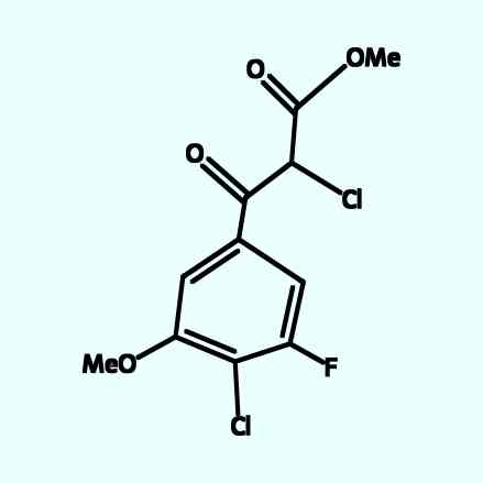 COC(=O)C(Cl)C(=O)c1cc(F)c(Cl)c(OC)c1